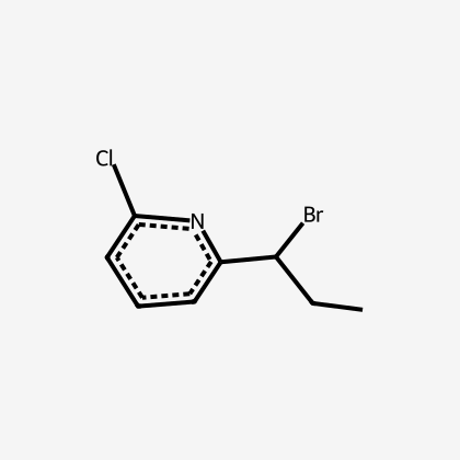 CCC(Br)c1cccc(Cl)n1